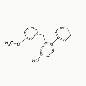 COc1cccc(Cc2cc(O)ccc2-c2ccccc2)c1